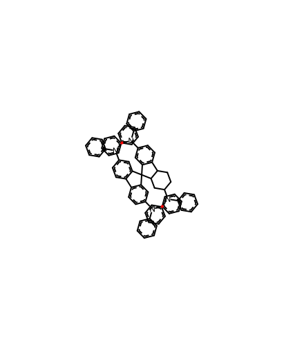 c1ccc(N(c2ccccc2)c2ccc3c(c2)C2(c4cc(N(c5ccccc5)c5ccccc5)ccc4-3)c3cc(N(c4ccccc4)c4ccccc4)ccc3C3CCC(N(c4ccccc4)c4ccccc4)CC32)cc1